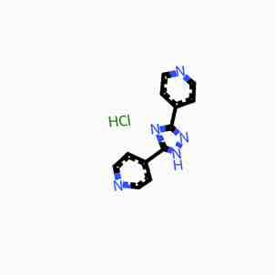 Cl.c1cc(-c2n[nH]c(-c3ccncc3)n2)ccn1